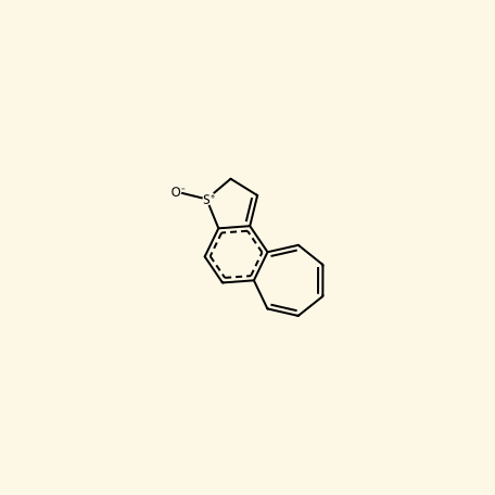 [O-][S+]1CC=c2c1ccc1c2=CC=CC=C1